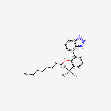 CCCCCCCCOc1c(-c2cccc3[nH]nnc23)cccc1C(C)(C)C